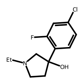 CCN1CCC(O)(c2ccc(Cl)cc2F)C1